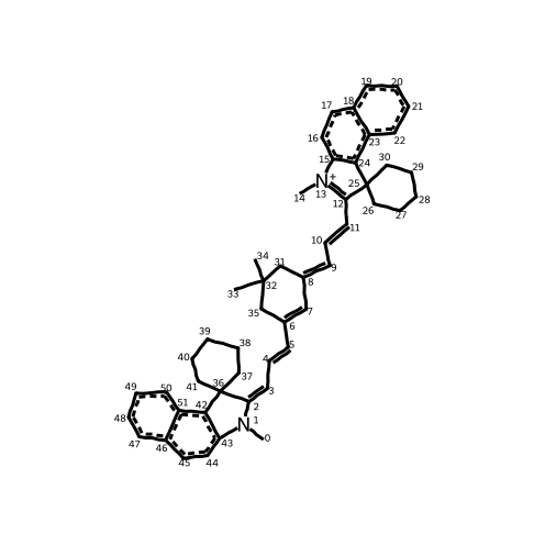 CN1/C(=C/C=C/C2=CC(=C/C=C/C3=[N+](C)c4ccc5ccccc5c4C34CCCCC4)/CC(C)(C)C2)C2(CCCCC2)c2c1ccc1ccccc21